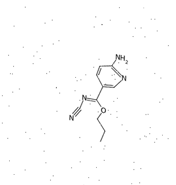 CCCOC(=NC#N)c1ccc(N)nc1